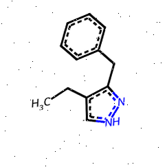 CCc1[c][nH]nc1Cc1ccccc1